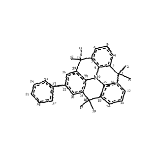 CC1(C)c2cccc3c2N2c4c1cccc4C(C)(C)c1cc(-c4ccccc4)cc(c12)C3(C)C